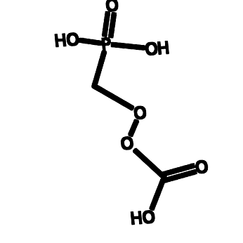 O=C(O)OOCP(=O)(O)O